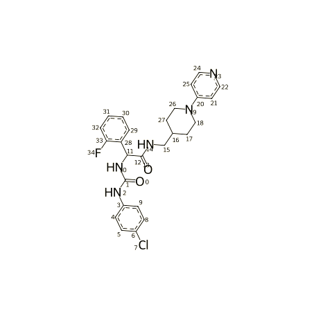 O=C(Nc1ccc(Cl)cc1)NC(C(=O)NCC1CCN(c2ccncc2)CC1)c1ccccc1F